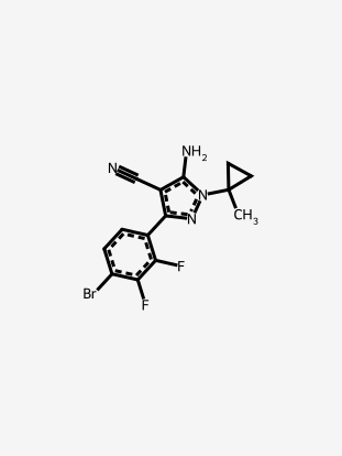 CC1(n2nc(-c3ccc(Br)c(F)c3F)c(C#N)c2N)CC1